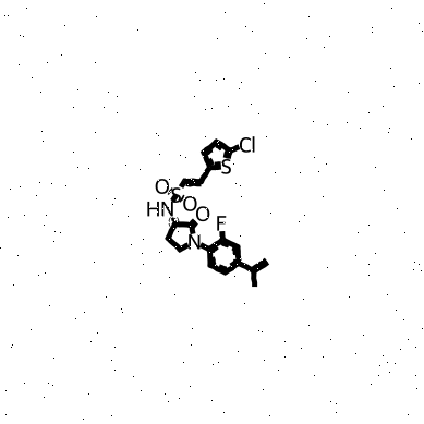 C=C(C)c1ccc(N2CC[C@H](NS(=O)(=O)C=Cc3ccc(Cl)s3)C2=O)c(F)c1